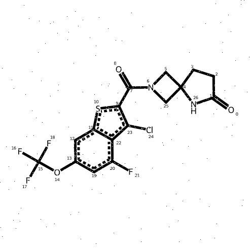 O=C1CCC2(CN(C(=O)c3sc4cc(OC(F)(F)F)cc(F)c4c3Cl)C2)N1